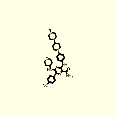 CN1CCN(C2CCN(c3ccc(Nc4nc(NC5CCOCC5)c(-c5ccc(C#N)cc5)nc4C(N)=O)cc3)CC2)CC1